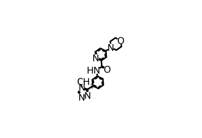 Cn1cnnc1-c1cccc(NC(=O)c2cc(N3CCOCC3)ccn2)c1